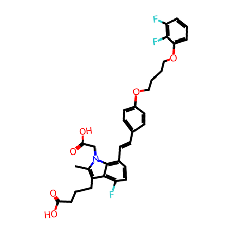 Cc1c(CCCC(=O)O)c2c(F)ccc(/C=C/c3ccc(OCCCCOc4cccc(F)c4F)cc3)c2n1CC(=O)O